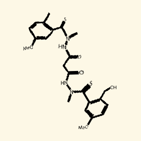 COc1ccc(C)c(C(=S)N(C)NC(=O)CC(=O)NN(C)C(=S)c2cc(OC)ccc2CO)c1